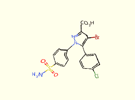 NS(=O)(=O)c1ccc(-n2nc(C(=O)O)c(Br)c2-c2ccc(Cl)cc2)cc1